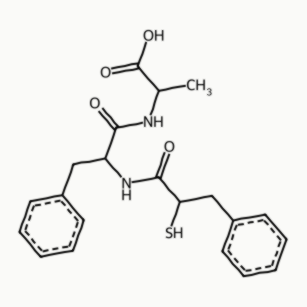 CC(NC(=O)C(Cc1ccccc1)NC(=O)C(S)Cc1ccccc1)C(=O)O